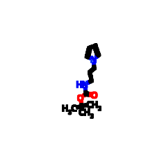 CC(C)(C)OC(=O)NCCCn1cccc1